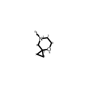 IN1CCOC2(CC2)C1